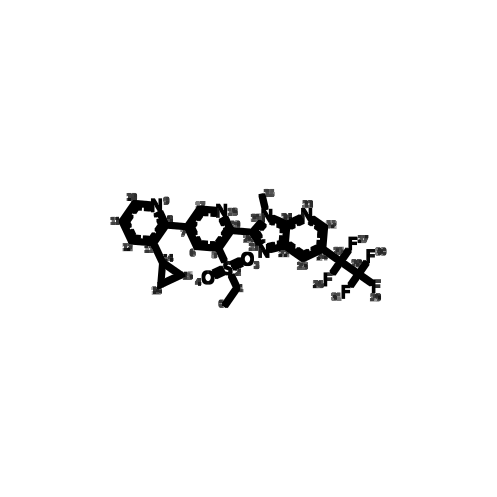 CCS(=O)(=O)c1cc(-c2ncccc2C2CC2)cnc1-c1nc2cc(C(F)(F)C(F)(F)F)cnc2n1C